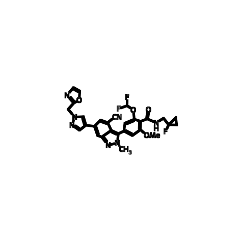 COc1cc(-c2c3c(C#N)cc(-c4cnn(Cc5ncco5)c4)cc3nn2C)cc(OC(F)F)c1C(=O)NCC1(F)CC1